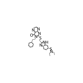 CCN(CC)Sc1ccc2nc(CSc3nc4nccnc4c(=O)n3CCc3ccccc3)[nH]c2c1